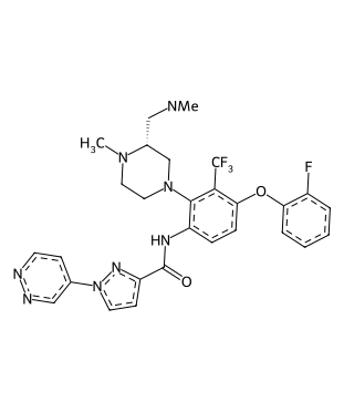 CNC[C@@H]1CN(c2c(NC(=O)c3ccn(-c4ccnnc4)n3)ccc(Oc3ccccc3F)c2C(F)(F)F)CCN1C